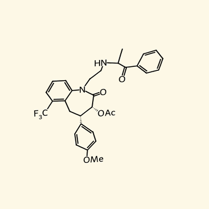 COc1ccc([C@@H]2Cc3c(cccc3C(F)(F)F)N(CCNC(C)C(=O)c3ccccc3)C(=O)[C@@H]2OC(C)=O)cc1